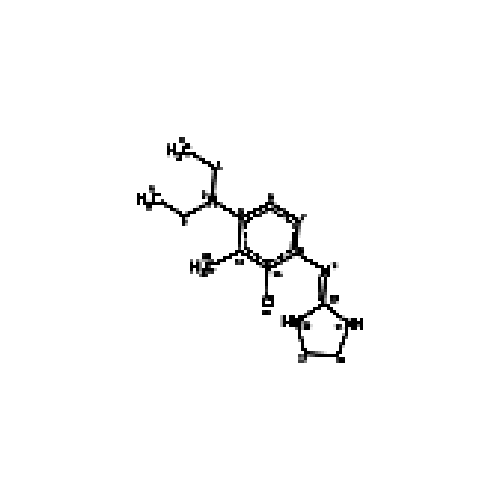 CCN(CC)c1ccc(N=C2NCCN2)c(Cl)c1C